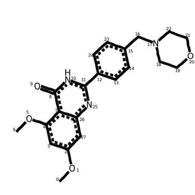 COc1cc(OC)c2c(=O)[nH]c(-c3ccc(CN4CCOCC4)cc3)nc2c1